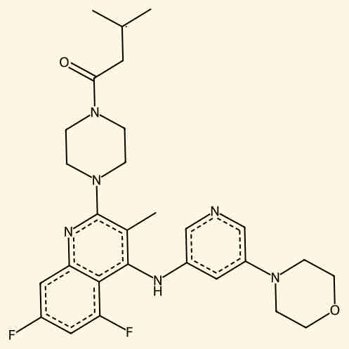 C[C](C)CC(=O)N1CCN(c2nc3cc(F)cc(F)c3c(Nc3cncc(N4CCOCC4)c3)c2C)CC1